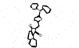 O=C1/C(=C\c2ccc(N(c3ccccc3)c3ccccn3)s2)C(=O)c2c1ccc1ccccc21